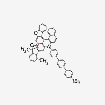 Cc1cccc2c1-c1cc(N(c3ccc(-c4ccc(-c5ccc(C(C)(C)C)cc5)cc4)cc3)c3ccc4ccccc4c3-c3cccc4oc5ccccc5c34)ccc1C2(C)C